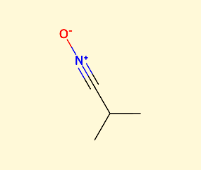 CC(C)C#[N+][O-]